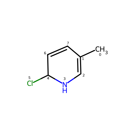 CC1=CNC(Cl)C=C1